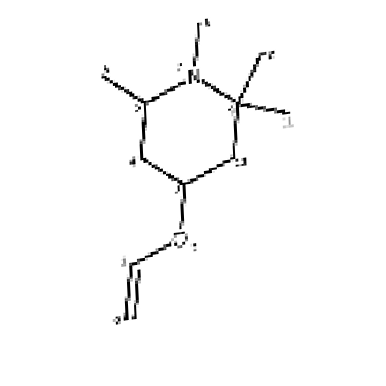 C=COC1CC(C)N(C)C(C)(C)C1